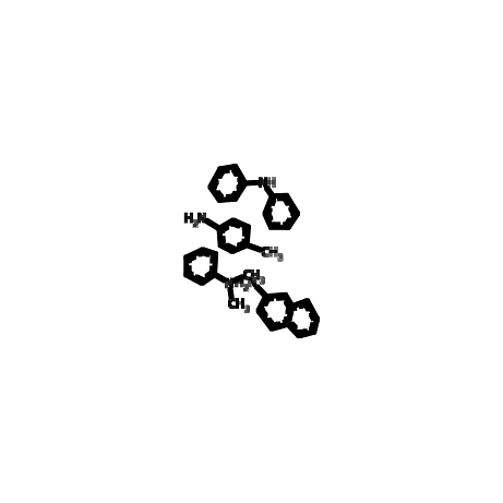 CN(C)c1ccccc1.Cc1ccc(N)cc1.Nc1ccc2ccccc2c1.c1ccc(Nc2ccccc2)cc1